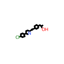 CC(=Cc1ccc(C#Cc2ccc(-c3ccc(Cl)cc3)cn2)cc1)CO